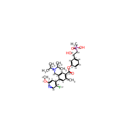 COc1cc(-c2cc(C)c(C(=O)Oc3cccc([C@H](O)CP(C)(=O)O)c3)cc2CN(C(C)C)C(C)C)c(F)cn1